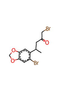 CC(CC(=O)CBr)c1cc2c(cc1Br)OCO2